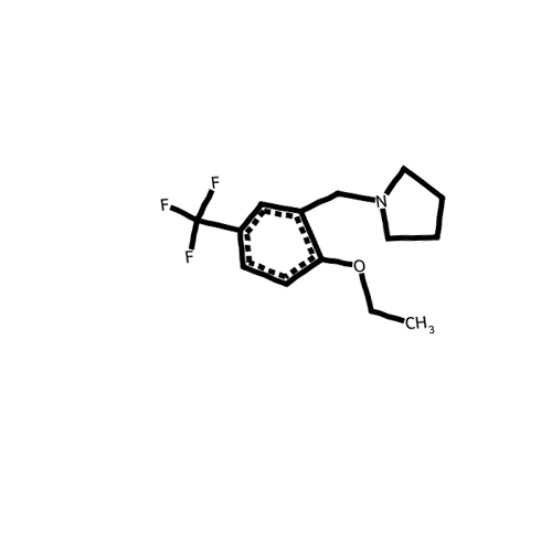 CCOc1ccc(C(F)(F)F)cc1CN1CCCC1